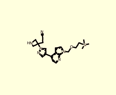 C[Si](C)(C)CCOCn1ccc2c(-c3cnn(C4(CC#N)CNC4)c3)ccnc21